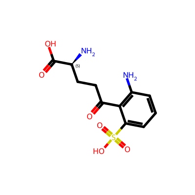 Nc1cccc(S(=O)(=O)O)c1C(=O)CC[C@H](N)C(=O)O